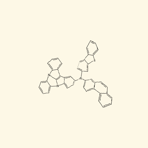 c1ccc2c(c1)ccc1cc(N(c3ccc4c(c3)sc3ccccc34)c3ccc4c(c3)c3c5ccccc5n5c6ccccc6n4c35)ccc12